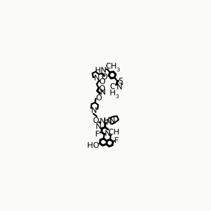 C#Cc1c(F)ccc2cc(O)cc(-c3ncc4c(N5CC6CCC(C5)N6)nc(OCCN5CCC(COc6cc(CC(=O)N7CCCC7C(=O)NC(C)c7ccc(-c8scnc8C)cc7)on6)CC5)nc4c3F)c12